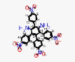 Nc1c(-c2ccc([N+](=O)[O-])cc2)c(N)c(-c2ccc([N+](=O)[O-])cc2)c(-c2ccc([N+](=O)[O-])cc2)c1-c1ccc([N+](=O)[O-])cc1